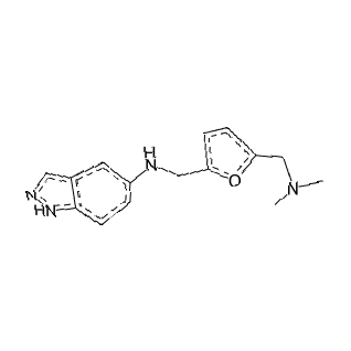 CN(C)Cc1ccc(CNc2ccc3[nH]ncc3c2)o1